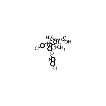 CC1Cc2c(OCc3ccc4cc(Cl)ccc4n3)ccc3c2c(c(CC(C)(C)C=NOCC(=O)O)n3Cc2ccc(Cl)cc2)S1